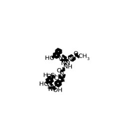 CCC(=O)N1CCN(c2nc(NCCC(=O)N3CCC(Cc4ccc(-n5c(O)nnc5-c5cc(C(C)C)c(O)cc5O)cc4)CC3)nc3c2CCN(c2cc(O)cc4ccccc24)C3)CC1